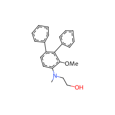 COc1c(N(C)CCO)ccc(-c2ccccc2)c1-c1ccccc1